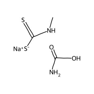 CNC(=S)[S-].NC(=O)O.[Na+]